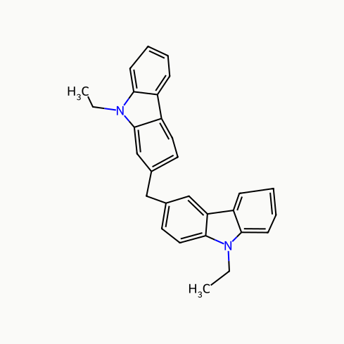 CCn1c2ccccc2c2cc(Cc3ccc4c5ccccc5n(CC)c4c3)ccc21